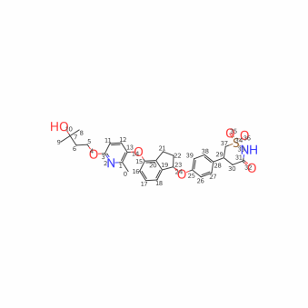 Cc1nc(OCCC(C)(C)O)ccc1Oc1cccc2c1CC[C@H]2Oc1ccc(C2CC(=O)NS(=O)(=O)C2)cc1